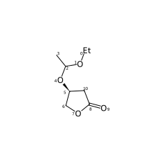 CCOC(C)O[C@@H]1COC(=O)C1